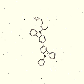 C/C=C\C=C(/CI)N1c2ccccc2C2C=C(c3ccc4c(c3)c3ccccc3n4-c3ccccc3)C=CC21